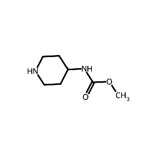 COC(=O)N[C]1CCNCC1